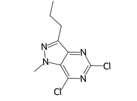 CCCc1nn(C)c2c(Cl)nc(Cl)nc12